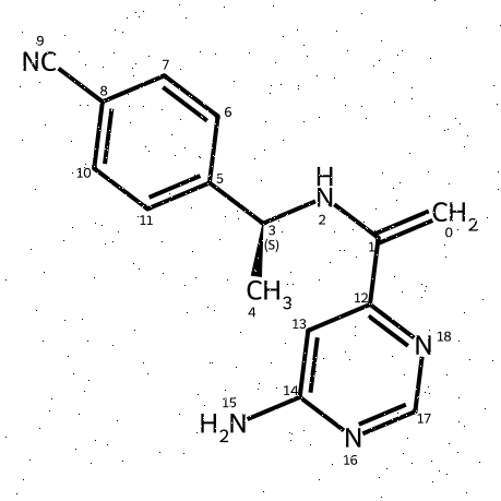 C=C(N[C@@H](C)c1ccc(C#N)cc1)c1cc(N)ncn1